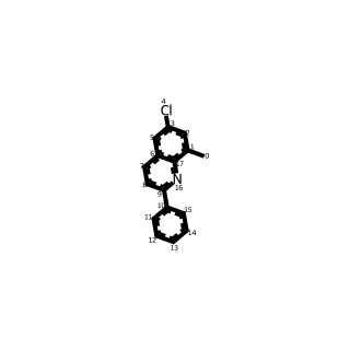 Cc1cc(Cl)cc2ccc(-c3ccccc3)nc12